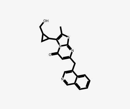 Cc1sc2nc(Cc3cncc4ccccc34)cc(=O)n2c1C1CC1CO